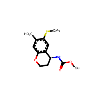 COSc1cc2c(cc1C(=O)O)OCC[C@@H]2NC(=O)OC(C)(C)C